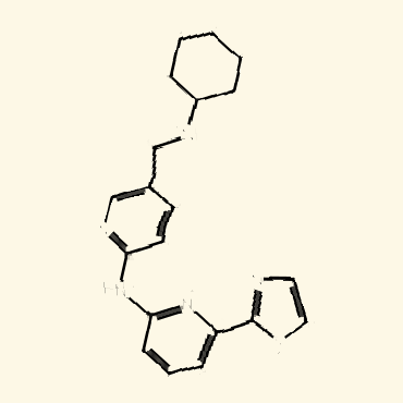 c1cc(Nc2ccc(CNC3CCCCC3)cn2)nc(-c2nccs2)c1